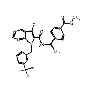 COC(=O)c1ccc(C(C)NC(=O)c2c(Cl)c3cncnc3n2Cc2cccc(C(F)(F)F)c2)cc1